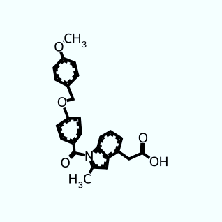 COc1ccc(COc2ccc(C(=O)n3c(C)cc4c(CC(=O)O)cccc43)cc2)cc1